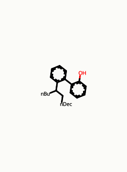 CCCCCCCCCCCC(CCCC)c1ccccc1-c1ccccc1O